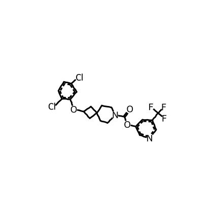 O=C(Oc1cncc(C(F)(F)F)c1)N1CCC2(CC1)CC(Oc1cc(Cl)ccc1Cl)C2